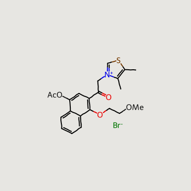 COCCOc1c(C(=O)C[n+]2csc(C)c2C)cc(OC(C)=O)c2ccccc12.[Br-]